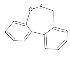 c1ccc2c(c1)CSOc1ccccc1-2